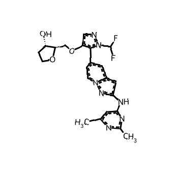 Cc1cc(Nc2cc3cc(-c4c(OC[C@H]5OCC[C@@H]5O)cnn4C(F)F)ccn3n2)nc(C)n1